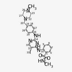 CNS(=O)(=O)c1ccccc1Nc1nc(Nc2ccc(CN3CCN(C)CC3)cc2)ncc1I